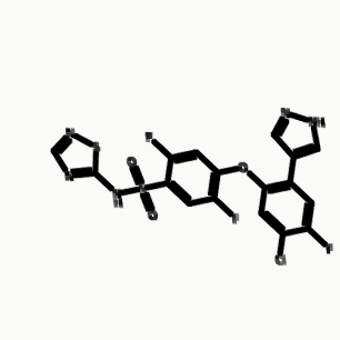 O=S(=O)(Nc1ncns1)c1cc(F)c(Oc2cc(Cl)c(F)cc2-c2cn[nH]c2)cc1F